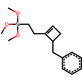 CO[Si](CCC1=CCC1Cc1ccccc1)(OC)OC